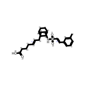 Cc1cccc(/C=C/S(=O)(=O)NC2C3CCC(CC3)C2C/C=C/CCCC(=O)O)c1